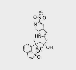 CCS(=O)(=O)c1cc2cc(CC(O)(CC(C)(C)c3cccc4c3S(=O)(=O)C=C4)C(F)(F)F)[nH]c2cn1